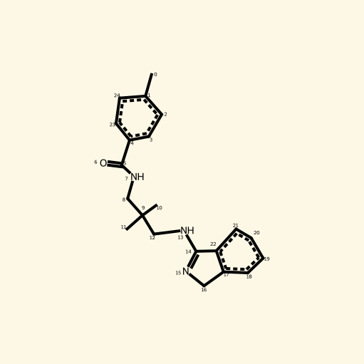 Cc1ccc(C(=O)NCC(C)(C)CNC2=NCc3ccccc32)cc1